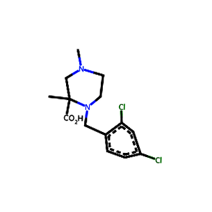 CN1CCN(Cc2ccc(Cl)cc2Cl)C(C)(C(=O)O)C1